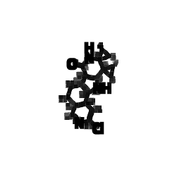 O=C1NC2(CC2)C2(CC2)c2[nH]c3c(c21)CCc1cnc(Cl)cc1-3